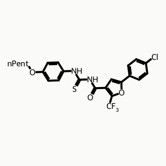 CCCCCOc1ccc(NC(=S)NC(=O)c2cc(-c3ccc(Cl)cc3)oc2C(F)(F)F)cc1